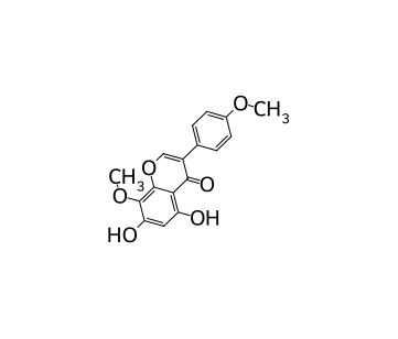 COc1ccc(-c2coc3c(OC)c(O)cc(O)c3c2=O)cc1